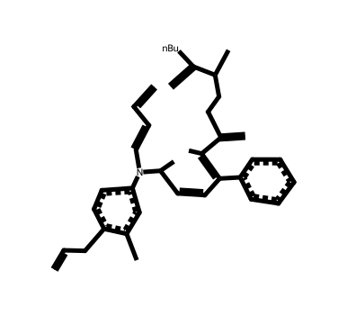 C=C/C=C/N(c1ccc(CC=C)c(C)c1)C(C)/C=C\C(=C(/C)C(=C)CCC(C)C(=C)CCCC)c1ccccc1